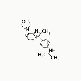 Cc1nc2c(N3CCOCC3)nccn2c1-c1ccc(NC(C)C)nc1